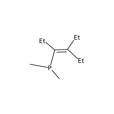 CCC(CC)=C(CC)P(C)C